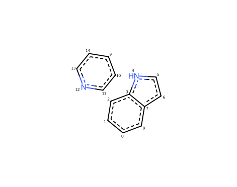 c1ccc2[nH]ccc2c1.c1ccncc1